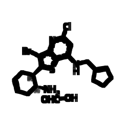 N[C@@H]1CC=CC[C@H]1c1sc2c(NCC3=CCCC3)cc(Cl)nc2c1Br.O=CO